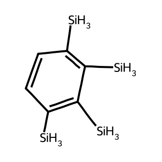 [SiH3]c1ccc([SiH3])c([SiH3])c1[SiH3]